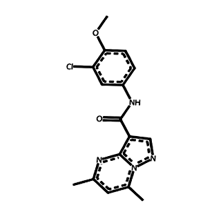 COc1ccc(NC(=O)c2cnn3c(C)cc(C)nc23)cc1Cl